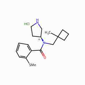 CSc1ccccc1C(=O)N(CC1(C)CCC1)[C@H]1CCNC1.Cl